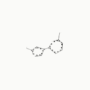 Cc1cccc(-c2csc(C)c2)n1